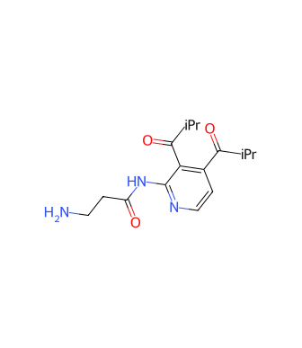 CC(C)C(=O)c1ccnc(NC(=O)CCN)c1C(=O)C(C)C